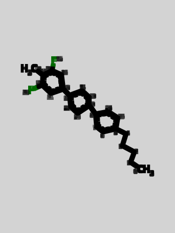 CCCCCc1ccc(-c2ccc(-c3cc(F)c(C)c(F)c3)cc2)cc1